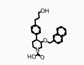 O=C(O)N1CCC(c2ccc(CCCO)cc2)C(OCc2ccc3ccccc3c2)C1